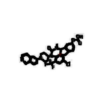 CN(C(=O)N(c1ccc(Cl)cc1C(F)(F)F)C1CCN(c2ccc3cnccc3c2)CC1)C1CCc2ccc(OC(=O)O)cc21